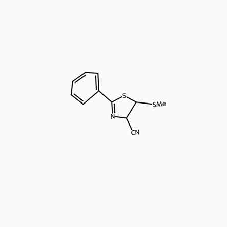 CSC1SC(c2ccccc2)=NC1C#N